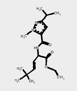 CCOC(=O)C(C=CC(C)(C)C)NC(=O)c1cc(C(C)C)nn1C